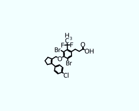 CC(F)(F)c1c(CCC(=O)O)cc(Br)c(OCC2=C(c3ccc(Cl)cc3)CCC2)c1Br